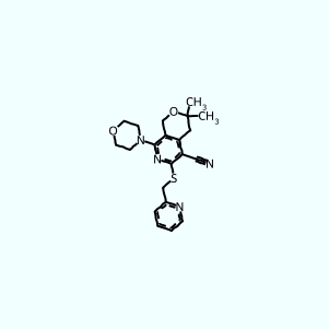 CC1(C)Cc2c(C#N)c(SCc3ccccn3)nc(N3CCOCC3)c2CO1